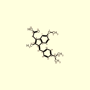 COc1ccc2c(c1)C(CC(=O)O)=C(C)/C2=C/c1ccc(N(C)C)cc1